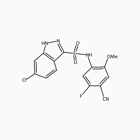 COc1cc(C#N)c(F)cc1NS(=O)(=O)c1n[nH]c2cc(Cl)ccc12